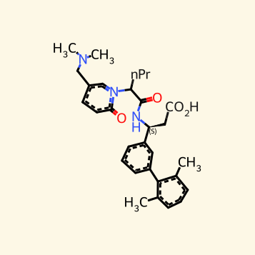 CCCC(C(=O)N[C@@H](CC(=O)O)c1cccc(-c2c(C)cccc2C)c1)n1cc(CN(C)C)ccc1=O